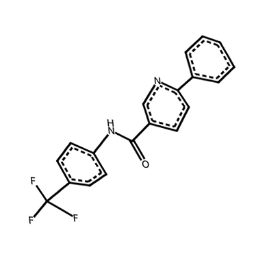 O=C(Nc1ccc(C(F)(F)F)cc1)c1ccc(-c2ccccc2)nc1